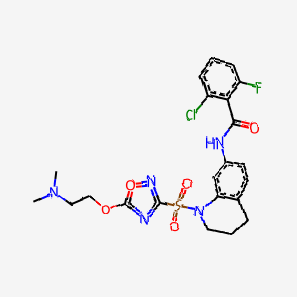 CN(C)CCOc1nc(S(=O)(=O)N2CCCc3ccc(NC(=O)c4c(F)cccc4Cl)cc32)no1